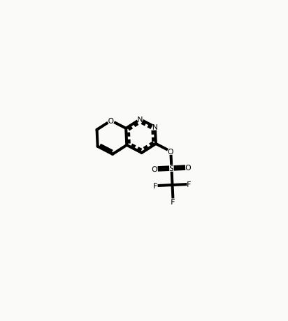 O=S(=O)(Oc1cc2c(nn1)OCC=C2)C(F)(F)F